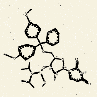 COc1ccc(C(OC[C@H]2O[C@@H](n3ccc(=O)[nH]c3=O)[C@@H](F)[C@H]2OP(OC)N(C(C)C)C(C)C)(c2ccccc2)c2ccc(OC)cc2)cc1